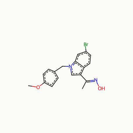 COc1ccc(Cn2cc(C(C)=NO)c3ccc(Br)cc32)cc1